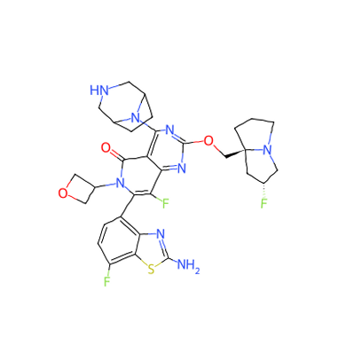 Nc1nc2c(-c3c(F)c4nc(OC[C@@]56CCCN5C[C@H](F)C6)nc(N5C6CCC5CNC6)c4c(=O)n3C3COC3)ccc(F)c2s1